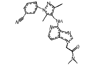 Cc1nn(-c2cccc(C#N)c2)c(C)c1Nc1nccc2c1ncn2CC(=O)N(C)C